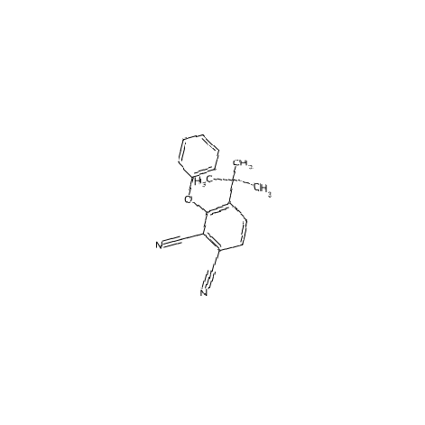 CC(C)(C)c1ccc(C#N)c(C#N)c1Oc1ccccc1